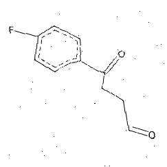 O=[C]CCC(=O)c1ccc(F)cc1